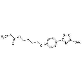 C=CC(=O)OCCCCOc1ccc(-c2noc(OC(C)=O)n2)cc1